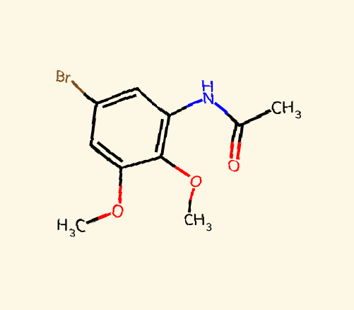 COc1cc(Br)cc(NC(C)=O)c1OC